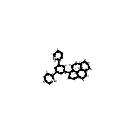 c1ccc(-c2cc(-c3ccccn3)cc(-c3ccc4ccc5cccc6ccc3c4c56)c2)nc1